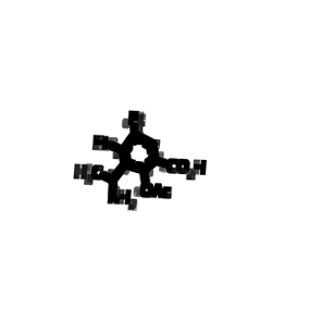 CCc1cc(C(=O)O)c(OC(C)=O)c(C(C)N)c1CC